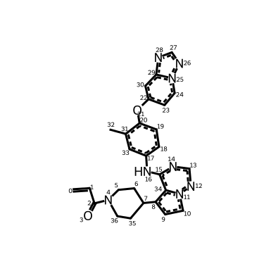 C=CC(=O)N1CCC(c2ccn3ncnc(Nc4ccc(Oc5ccn6ncnc6c5)c(C)c4)c23)CC1